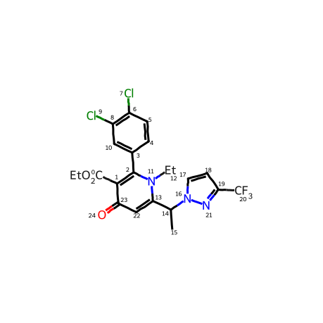 CCOC(=O)c1c(-c2ccc(Cl)c(Cl)c2)n(CC)c(C(C)n2ccc(C(F)(F)F)n2)cc1=O